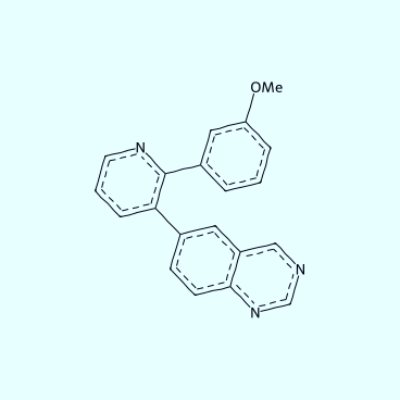 COc1cccc(-c2ncccc2-c2ccc3ncncc3c2)c1